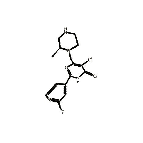 C[C@H]1CNCCN1c1nc(-c2ccnc(F)c2)[nH]c(=O)c1Cl